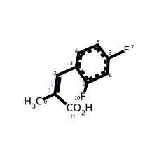 C/C(=C/c1ccc(F)cc1F)C(=O)O